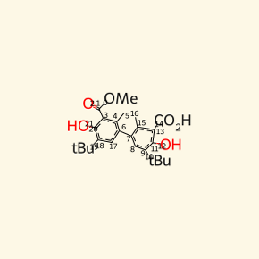 COC(=O)c1c(C)c(-c2cc(C(C)(C)C)c(O)c(C(=O)O)c2C)cc(C(C)(C)C)c1O